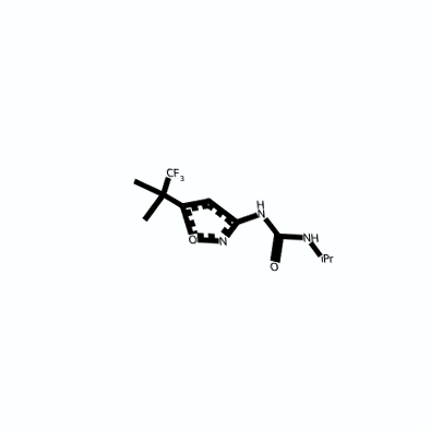 CC(C)NC(=O)Nc1cc(C(C)(C)C(F)(F)F)on1